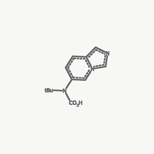 CC(C)(C)N(C(=O)O)c1ccc2cncn2c1